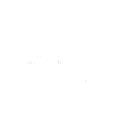 COC(=O)Cc1nc(-c2ccc(Cl)cc2)oc1-c1ccccc1